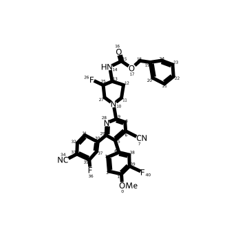 COc1ccc(-c2c(C#N)cc(N3CCC(NC(=O)OCc4ccccc4)C(F)C3)nc2-c2ccc(C#N)c(F)c2)cc1F